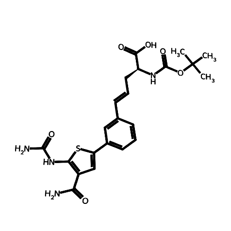 CC(C)(C)OC(=O)N[C@@H](C/C=C/c1cccc(-c2cc(C(N)=O)c(NC(N)=O)s2)c1)C(=O)O